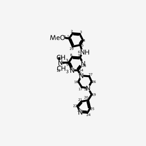 COc1cccc(Nc2cc(N(C)C)nc(N3CCN(Cc4ccncc4)CC3)n2)c1